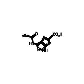 CCCCC(=O)Nc1n[nH]c2cc(C(=O)O)sc12